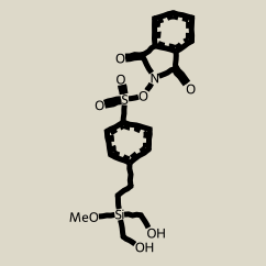 CO[Si](CO)(CO)CCc1ccc(S(=O)(=O)ON2C(=O)c3ccccc3C2=O)cc1